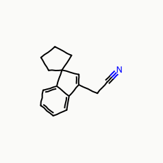 N#CCC1=CC2(CCCC2)c2ccccc21